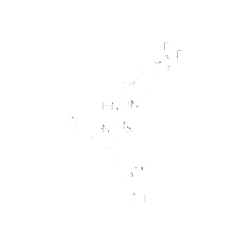 CCOC(=O)c1ccc2c(c1)nc(Nc1nc3ccc(OC(F)(F)F)cc3s1)n2C1CCOCC1